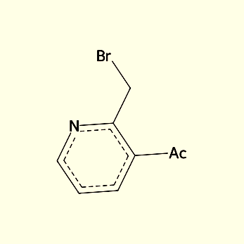 CC(=O)c1cccnc1CBr